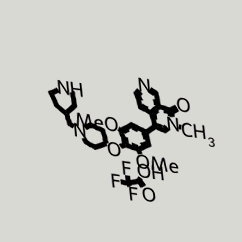 COc1cc(-c2cn(C)c(=O)c3cnccc23)cc(OC)c1OC1CCN(CC2CCNCC2)CC1.O=C(O)C(F)(F)F